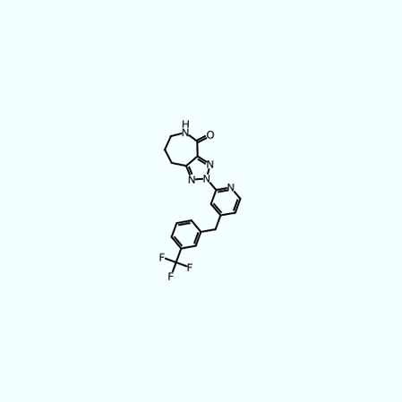 O=C1NCCCc2nn(-c3cc(Cc4cccc(C(F)(F)F)c4)ccn3)nc21